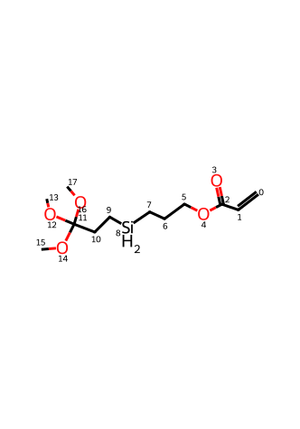 C=CC(=O)OCCC[SiH2]CCC(OC)(OC)OC